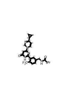 CC(C)C(=O)NCc1ccc(C(F)(F)F)c(-c2nc(N3C=CC(C4CC4)=NC3)cc(=O)[nH]2)c1